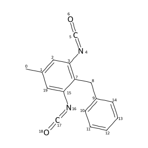 Cc1cc(N=C=O)c(Cc2ccccc2)c(N=C=O)c1